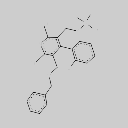 CC(C)c1nc(C(C)C)c(CO[Si](C)(C)C(C)(C)C)c(-c2ccccc2F)c1COCc1ccccc1